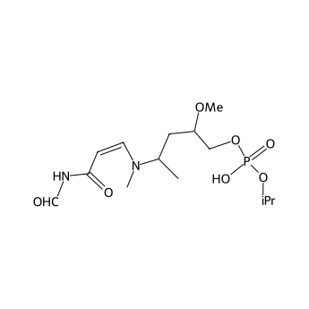 COC(COP(=O)(O)OC(C)C)CC(C)N(C)/C=C\C(=O)NC=O